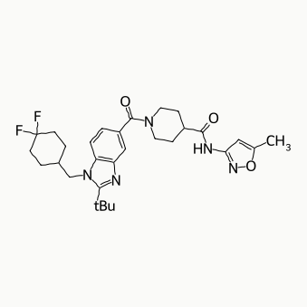 Cc1cc(NC(=O)C2CCN(C(=O)c3ccc4c(c3)nc(C(C)(C)C)n4CC3CCC(F)(F)CC3)CC2)no1